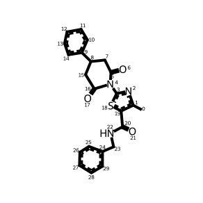 Cc1nc(N2C(=O)CC(c3ccccc3)CC2=O)sc1C(=O)NCc1ccccc1